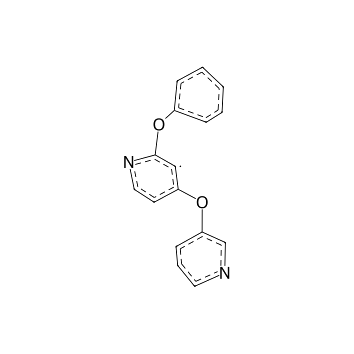 [c]1c(Oc2cccnc2)ccnc1Oc1ccccc1